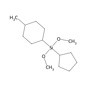 CO[Si](OC)(C1CCCC1)C1CCC(C)CC1